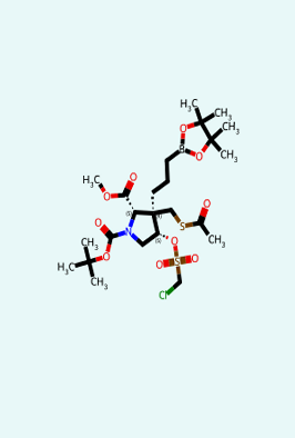 COC(=O)[C@H]1N(C(=O)OC(C)(C)C)C[C@@H](OS(=O)(=O)CCl)[C@]1(CCCB1OC(C)(C)C(C)(C)O1)CSC(C)=O